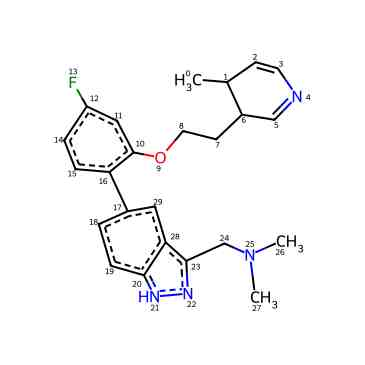 CC1C=CN=CC1CCOc1cc(F)ccc1-c1ccc2[nH]nc(CN(C)C)c2c1